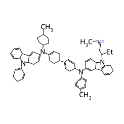 C/C=C\CC(CC)N1C2=C(C=CCC2)C2C=C(N(c3ccc(C)cc3)C3C=CC(C4CC=C(N(C5=CCC6C(=C5)C5C=CC=CC5N6C5=CCCC=C5)C5CCC(C)CC5)CC4)=CC3)C=CC21